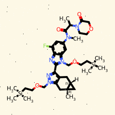 CC(C(=O)N(C)c1cc(F)c2nc(-c3nn(COCC[Si](C)(C)C)c4c3C[C@@H]3C[C@]3(C)C4)n(COCC[Si](C)(C)C)c2c1)N1CCOCC1=O